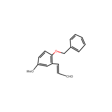 COc1ccc(OCc2ccccc2)c(C=CC=O)c1